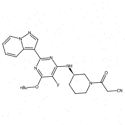 CCCCOc1nc(-c2cnn3ccccc23)nc(N[C@@H]2CCCN(C(=O)CC#N)C2)c1F